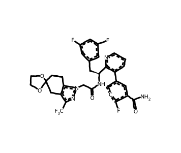 NC(=O)c1cc(-c2cccnc2[C@H](Cc2cc(F)cc(F)c2)NC(=O)Cn2nc(C(F)(F)F)c3c2CCC2(C3)OCCO2)ccc1F